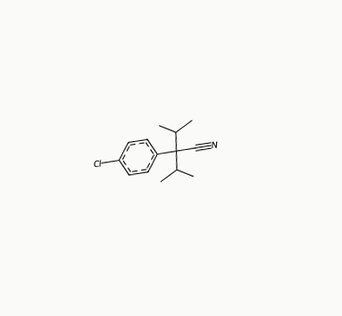 CC(C)C(C#N)(c1ccc(Cl)cc1)C(C)C